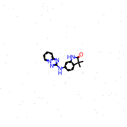 CC1(C)C(=O)Nc2cc(Nc3nc4ccccn4n3)ccc21